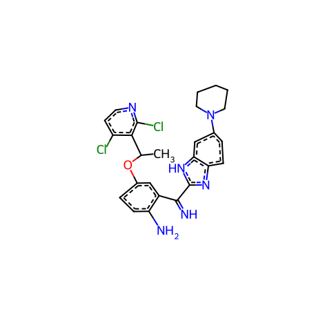 CC(Oc1ccc(N)c(C(=N)c2nc3ccc(N4CCCCC4)cc3[nH]2)c1)c1c(Cl)ccnc1Cl